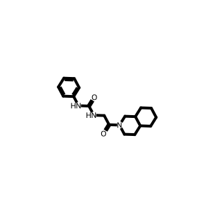 O=C(NCC(=O)N1CCC2CCCCC2C1)Nc1ccccc1